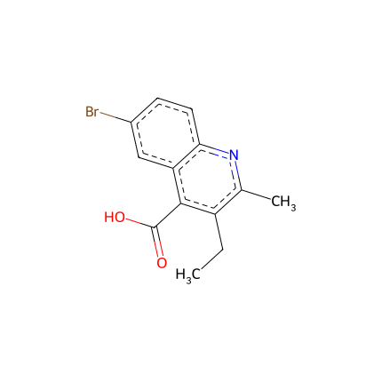 CCc1c(C)nc2ccc(Br)cc2c1C(=O)O